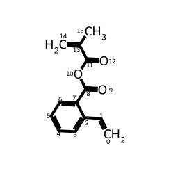 C=Cc1ccccc1C(=O)OC(=O)C(=C)C